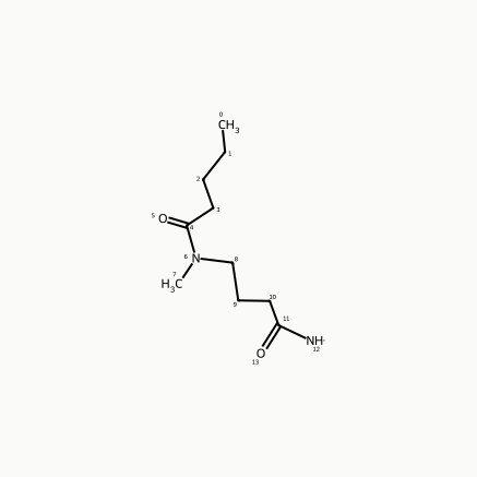 CCCCC(=O)N(C)CCCC([NH])=O